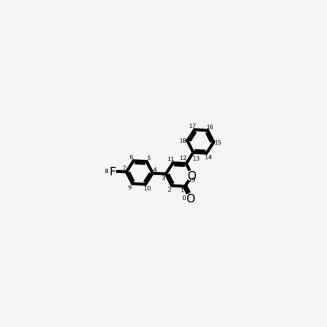 O=c1cc(-c2ccc(F)cc2)cc(-c2ccccc2)o1